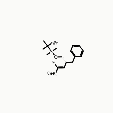 CCCC(C)(C)[Si](C)(C)OC[C@@H](/C=C(\F)C=O)Cc1ccccc1